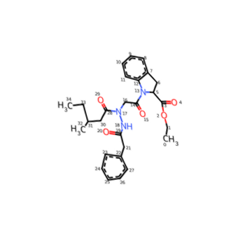 CCOC(=O)C1Cc2ccccc2N1C(=O)CN(NC(=O)Cc1ccccc1)C(=O)CC(C)CC